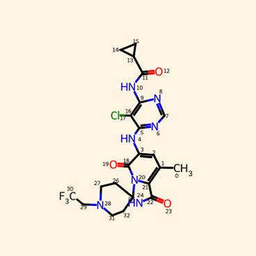 Cc1cc(Nc2ncnc(NC(=O)C3CC3)c2Cl)c(=O)n2c1C(=O)NC21CCN(CC(F)(F)F)CC1